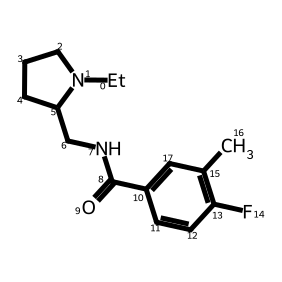 CCN1CCCC1CNC(=O)c1ccc(F)c(C)c1